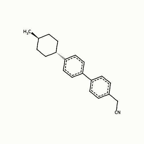 C[C@H]1CC[C@H](c2ccc(-c3ccc(CC#N)cc3)cc2)CC1